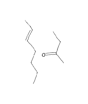 CC=CCCCC.CCC(C)=O